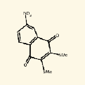 CSC1=C(SC)C(=O)c2cc([N+](=O)[O-])ccc2C1=O